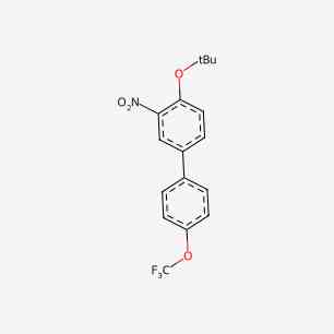 CC(C)(C)Oc1ccc(-c2ccc(OC(F)(F)F)cc2)cc1[N+](=O)[O-]